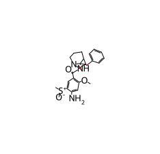 COc1cc(N)c([S+](C)[O-])cc1C(=O)NC1(Cc2ccccc2)C2CCCN1CC2